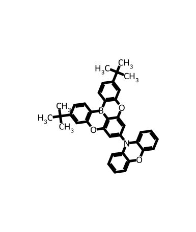 CC(C)(C)c1ccc2c(c1)Oc1cc(N3c4ccccc4Oc4ccccc43)cc3c1B2c1ccc(C(C)(C)C)cc1O3